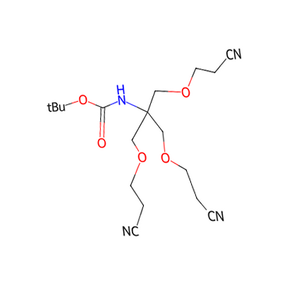 CC(C)(C)OC(=O)NC(COCCC#N)(COCCC#N)COCCC#N